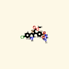 CCOC(=O)c1sc(-c2ccc(Cl)cc2)c(CN(C)C)c1-c1ccc(S(=O)(=O)/N=C\N(C)C)cc1